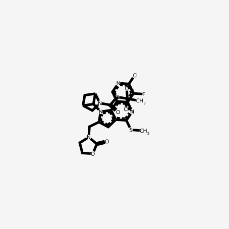 CSc1nc2c(F)c(Cl)ncc2c2c1cc(CN1CCOC1=O)n2C1C2CC1N(C(=O)OC(C)(C)C)C2